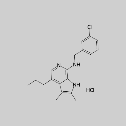 CCCc1cnc(NCc2cccc(Cl)c2)c2[nH]c(C)c(C)c12.Cl